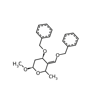 CO[C@H]1C[C@@H](OCc2ccccc2)/C(=C\OCc2ccccc2)C(C)O1